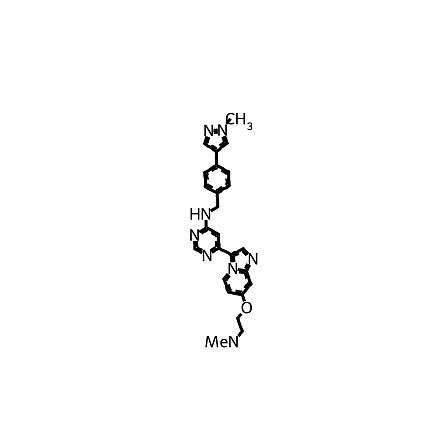 CNCCOc1ccn2c(-c3cc(NCc4ccc(-c5cnn(C)c5)cc4)ncn3)cnc2c1